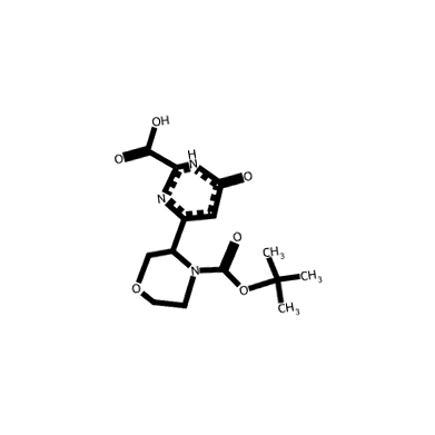 CC(C)(C)OC(=O)N1CCOCC1c1cc(=O)[nH]c(C(=O)O)n1